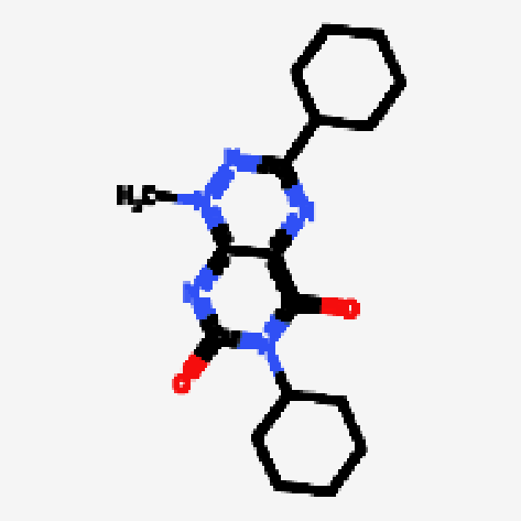 Cn1nc(C2CCCCC2)nc2c(=O)n(C3CCCCC3)c(=O)nc1-2